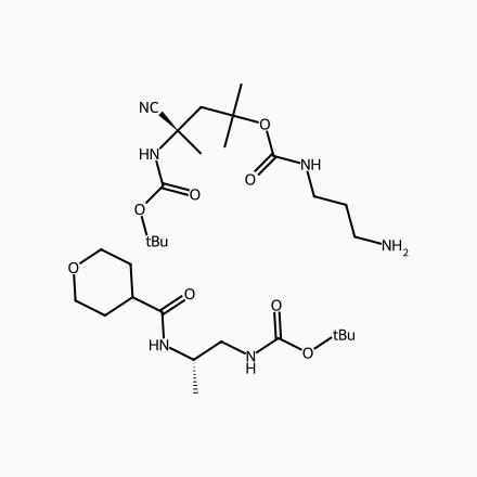 CC(C)(C)OC(=O)N[C@](C)(C#N)CC(C)(C)OC(=O)NCCCN.C[C@@H](CNC(=O)OC(C)(C)C)NC(=O)C1CCOCC1